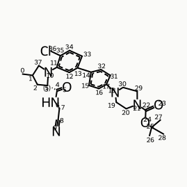 CC1C[C@@H](C(=O)NCC#N)N(c2cc(-c3ccc(N4CCN(C(=O)OC(C)(C)C)CC4)cc3)ccc2Cl)C1